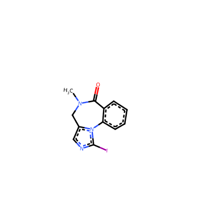 CN1Cc2cnc(I)n2-c2ccccc2C1=O